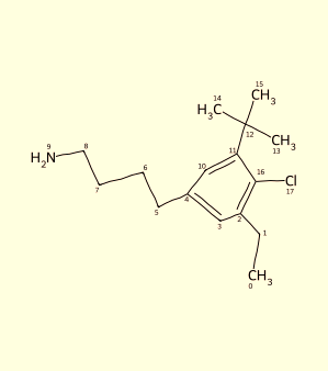 CCc1cc(CCCCN)cc(C(C)(C)C)c1Cl